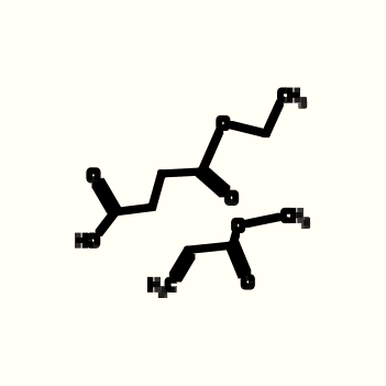 C=CC(=O)OC.CCOC(=O)CCC(=O)O